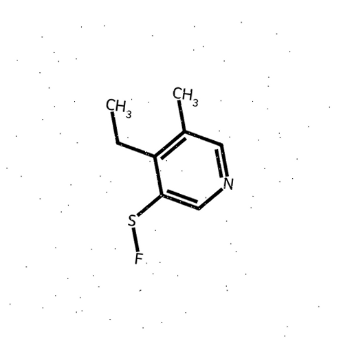 CCc1c(C)cncc1SF